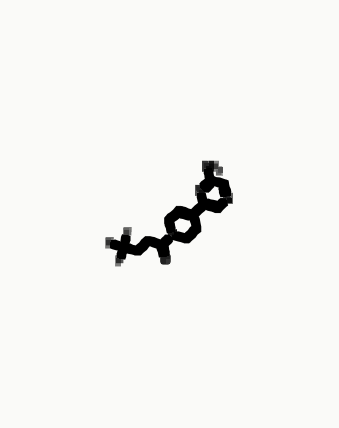 Nc1cncc(C2=CCN(C(=O)CCC(F)(F)F)CC2)n1